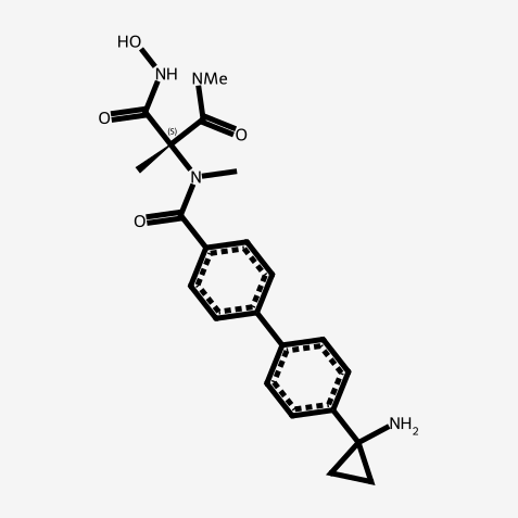 CNC(=O)[C@@](C)(C(=O)NO)N(C)C(=O)c1ccc(-c2ccc(C3(N)CC3)cc2)cc1